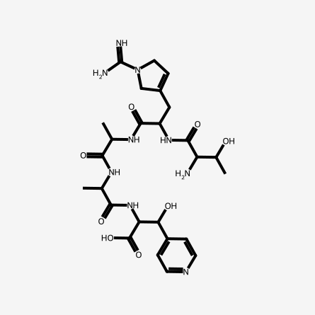 CC(NC(=O)C(C)NC(=O)C(CC1=CCN(C(=N)N)C1)NC(=O)C(N)C(C)O)C(=O)NC(C(=O)O)C(O)c1ccncc1